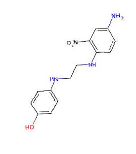 Nc1ccc(NCCNc2ccc(O)cc2)c([N+](=O)[O-])c1